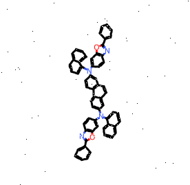 c1ccc(-c2nc3ccc(N(c4ccc5c(ccc6cc(N(c7ccc8nc(-c9ccccc9)oc8c7)c7cccc8ccccc78)ccc65)c4)c4cccc5ccccc45)cc3o2)cc1